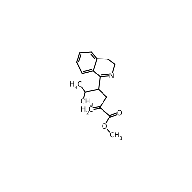 C=C(CC(C1=NCCc2ccccc21)C(C)C)C(=O)OC